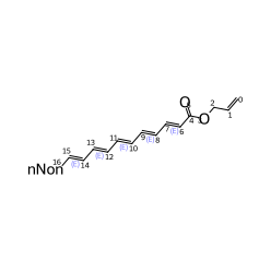 C=CCOC(=O)/C=C/C=C/C=C/C=C/C=C/CCCCCCCCC